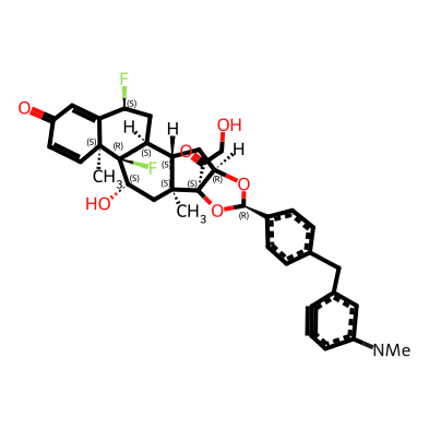 CNc1cc#cc(Cc2ccc([C@@H]3O[C@@H]4C[C@H]5[C@@H]6C[C@H](F)C7=CC(=O)C=C[C@]7(C)[C@@]6(F)[C@@H](O)C[C@]5(C)[C@]4(C(=O)CO)O3)cc2)c1